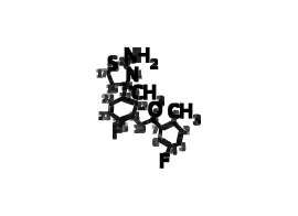 Cc1ccc(F)cc1C(=O)Cc1cc(C2(C)CCSC(N)=N2)ccc1F